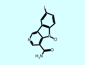 NC(=O)c1cncc2c3cc(I)ccc3n(Cl)c12